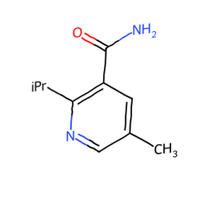 Cc1cnc(C(C)C)c(C(N)=O)c1